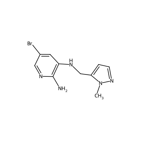 Cn1nccc1CNc1cc(Br)cnc1N